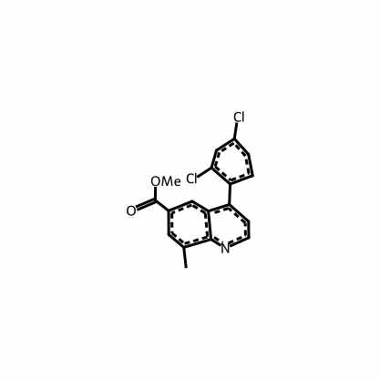 COC(=O)c1cc(C)c2nccc(-c3ccc(Cl)cc3Cl)c2c1